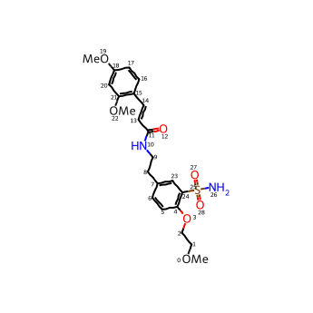 COCCOc1ccc(CCNC(=O)C=Cc2ccc(OC)cc2OC)cc1S(N)(=O)=O